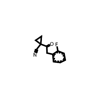 N#CC1(C(=O)Cc2ccccc2F)CC1